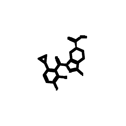 COC(=O)[C@@H]1CCc2c(I)nn(C(=O)c3c(C4CC4)ccc(F)c3Cl)c2C1